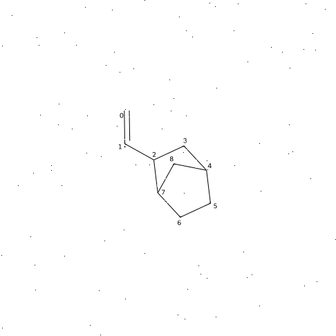 C=[C]C1CC2CCC1C2